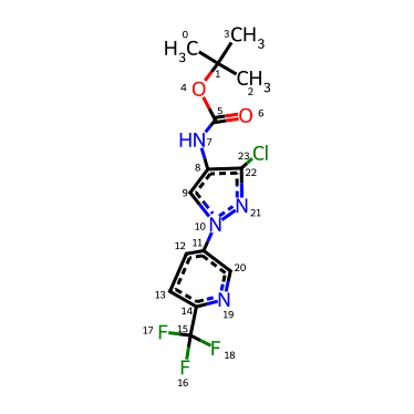 CC(C)(C)OC(=O)Nc1cn(-c2ccc(C(F)(F)F)nc2)nc1Cl